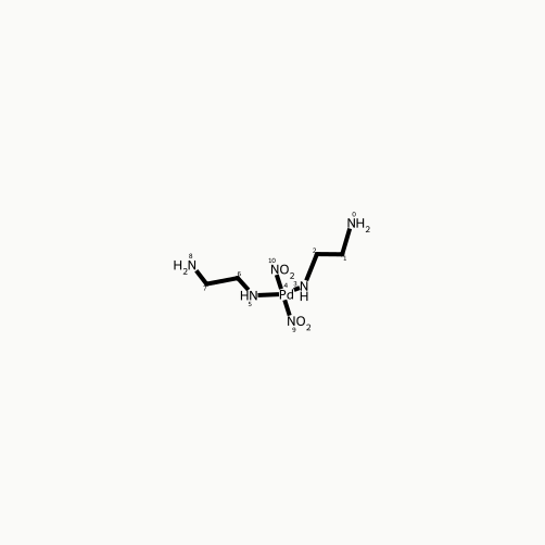 NCC[NH][Pd]([NH]CCN)([N+](=O)[O-])[N+](=O)[O-]